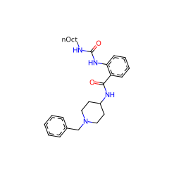 CCCCCCCCNC(=O)Nc1ccccc1C(=O)NC1CCN(Cc2ccccc2)CC1